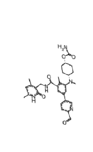 Cc1cc(C)c(CNC(=O)c2cc(-c3ccc(C=O)nc3)cc(N(C)[C@H]3CC[C@@H](OC(N)=O)CC3)c2C)c(=O)[nH]1